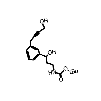 CC(C)(C)OC(=O)NCCC(O)c1cccc(CC#CCO)c1